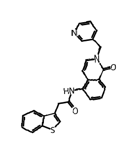 O=C(Cc1csc2ccccc12)Nc1cccc2c(=O)n(Cc3cccnc3)ccc12